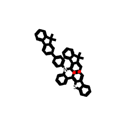 CC1(C)c2ccccc2-c2ccc(-c3ccc(N(c4ccccc4-c4cccc5c4sc4ccccc45)c4cccc5c4-c4ccccc4C5(C)C)cc3)cc21